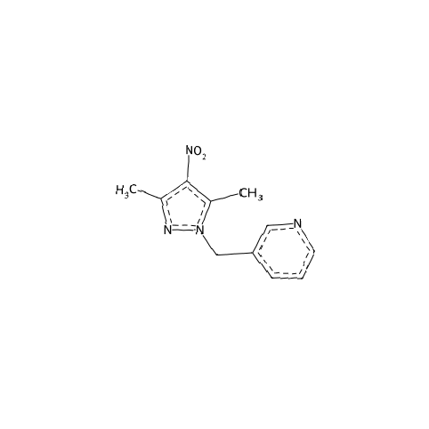 Cc1nn(Cc2cccnc2)c(C)c1[N+](=O)[O-]